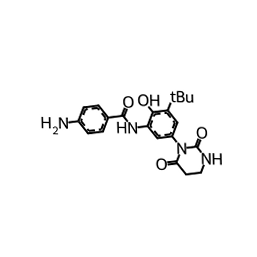 CC(C)(C)c1cc(N2C(=O)CCNC2=O)cc(NC(=O)c2ccc(N)cc2)c1O